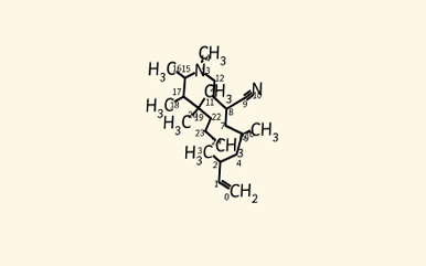 C=CC(C)C[C@H](C)CC(C#N)CCN(C)C(C)C(C)C(C)(C)CCC